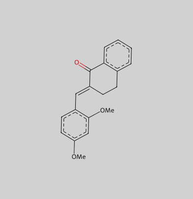 COc1ccc(/C=C2\CCc3ccccc3C2=O)c(OC)c1